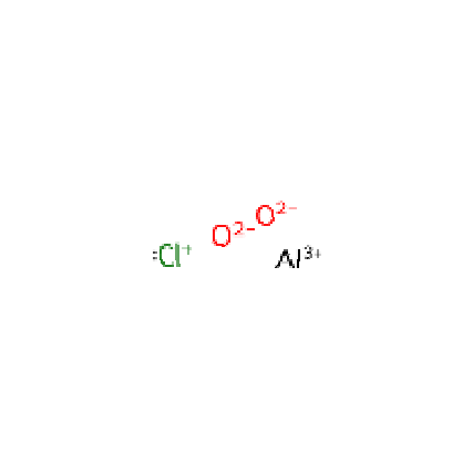 [Al+3].[Cl+].[O-2].[O-2]